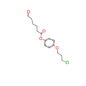 O=CCCCCC(=O)Oc1ccc(OCCCCl)cc1